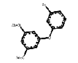 CCc1cccc(Oc2cc(OC)cc(OC)c2)c1